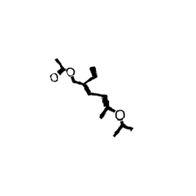 C=C/C(=C\C=C(/C)OC(C)C)COC(C)=O